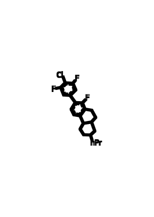 CCCC1CCC2c3ccc(-c4cc(F)c(Cl)c(F)c4)c(F)c3CCC2C1